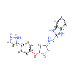 c1ccc2[nH]c(CN[C@@H]3COC(Oc4ccc(-c5ccn[nH]5)cc4)C3)nc2c1